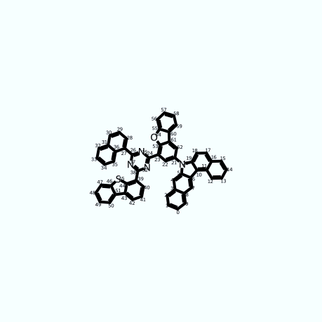 c1ccc2cc3c(cc2c1)c1c2ccccc2ccc1n3-c1cc(-c2nc(-c3cccc4ccccc34)nc(-c3cccc4c3sc3ccccc34)n2)c2oc3ccccc3c2c1